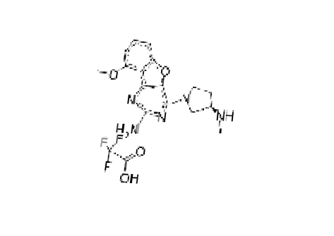 CN[C@@H]1CCN(c2nc(N)nc3c2oc2cccc(OC)c23)C1.O=C(O)C(F)(F)F